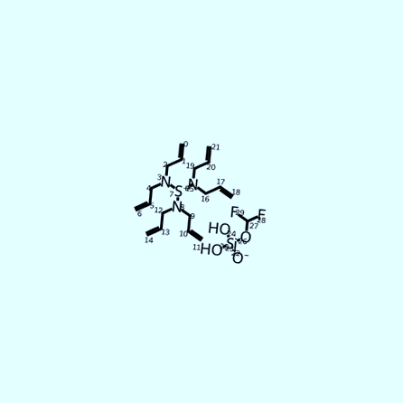 C=CCN(CC=C)[S+](N(CC=C)CC=C)N(CC=C)CC=C.[O-][Si](O)(O)OC(F)F